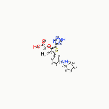 Cc1c(-c2cccc(NCC3CCCCC3)c2)sc(-c2nn[nH]n2)c1OCC(=O)O